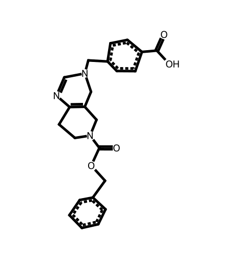 O=C(O)c1ccc(CN2C=NC3=C(C2)CN(C(=O)OCc2ccccc2)CC3)cc1